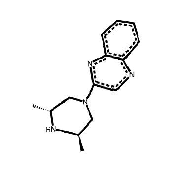 C[C@@H]1CN(c2cnc3ccccc3n2)C[C@@H](C)N1